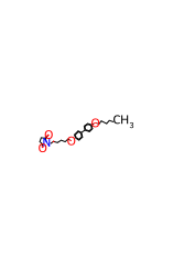 CCCCCCOc1ccc(-c2ccc(OCCCCCCN3C(=O)CCC3=O)cc2)cc1